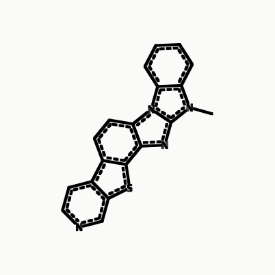 Cn1c2ccccc2n2c3ccc4c5ccncc5sc4c3nc12